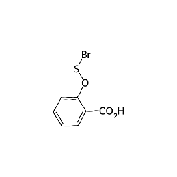 O=C(O)c1ccccc1OSBr